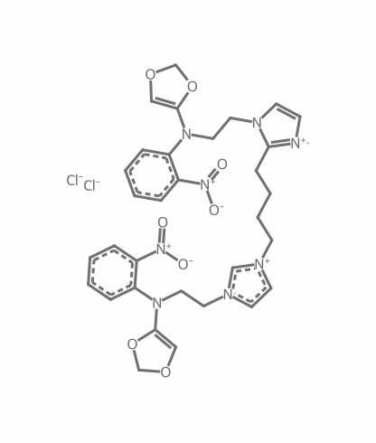 O=[N+]([O-])c1ccccc1N(CCN1C=C[N+]=C1CCCC[n+]1ccn(CCN(C2=COCO2)c2ccccc2[N+](=O)[O-])c1)C1=COCO1.[Cl-].[Cl-]